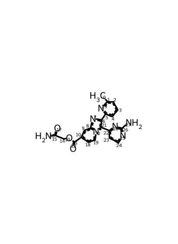 Cc1cccc(-c2nc3cc(C(=O)OCC(N)=O)ccn3c2-c2ccnc(N)n2)n1